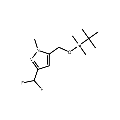 Cn1nc(C(F)F)cc1CO[Si](C)(C)C(C)(C)C